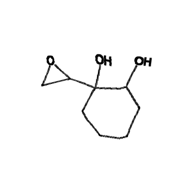 OC1CCCCC1(O)C1CO1